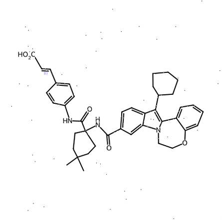 CC1(C)CCC(NC(=O)c2ccc3c(C4CCCCC4)c4n(c3c2)CCOc2ccccc2-4)(C(=O)Nc2ccc(/C=C/C(=O)O)cc2)CC1